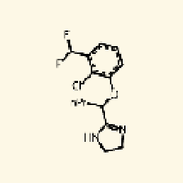 CCCC(Oc1cccc(C(F)F)c1Cl)C1=NCCN1